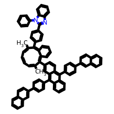 Cc1ccccc(C)c(-c2ccc3c(-c4ccc(-c5ccc6ccccc6c5)cc4)c4ccccc4c(-c4ccc(-c5ccc6ccccc6c5)cc4)c3c2)c2ccccc2c1-c1ccc(-c2nc3ccccc3n2-c2ccccc2)cc1